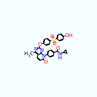 Cc1nc(Oc2ccc(S(=O)(=O)c3ccc(O)cc3)cc2)nc2c1ccc(=O)n2-c1ccc(C(=O)NC2CC2)cc1